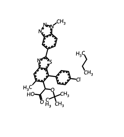 CCCC.Cc1cc2nc(-c3ccc4c(c3)nnn4C)sc2c(-c2ccc(Cl)cc2)c1C(OC(C)(C)C)C(=O)O